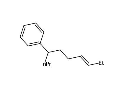 CC/C=C/CCC(CCC)c1ccccc1